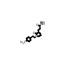 Cc1ccc(CCn2cccc(/C=C/C(=O)NO)c2=O)cc1